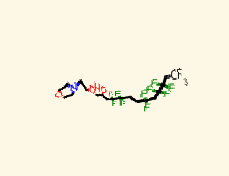 OC(COCCN1CCOCC1)CC(F)(F)C(F)(F)CCC(F)(F)CC(F)(F)C(F)(F)CC(F)(F)F